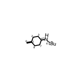 C=C1CCC(NC(C)(C)C)CC1